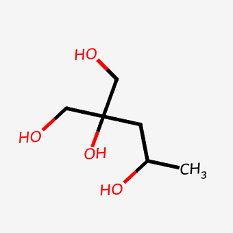 CC(O)CC(O)(CO)CO